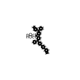 CCCCCCCCC1(CCCCCCCC)c2cc(N(c3ccccc3)c3ccc(-c4ccc(-c5ccc6c(c5)CC6)cc4)cc3)ccc2-c2ccc(N(c3ccccc3)c3ccc4c(c3)CC4)cc21